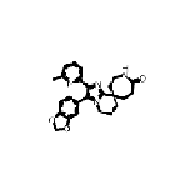 Cc1cccc(-c2nc3n(c2-c2ccc4c(c2)OCO4)CCC[C@]32CCNC(=O)CC2)n1